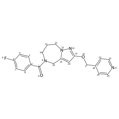 O=C(c1ccc(F)cc1)N1CCCn2nc(OCc3ccncc3)cc2C1